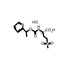 CC(OC(=O)N[C@@H](CCS(C)(=O)=O)C(=O)O)c1ccccn1.Cl